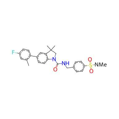 CNS(=O)(=O)c1ccc(CNC(=O)N2CC(C)(C)c3cc(-c4ccc(F)cc4C)ccc32)cc1